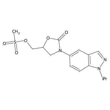 CC(C)n1ncc2cc(N3CC(COS(C)(=O)=O)OC3=O)ccc21